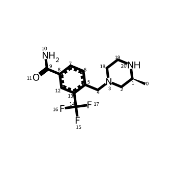 C[C@H]1CN(Cc2ccc(C(N)=O)cc2C(F)(F)F)CCN1